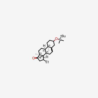 CCC1CC(=O)[C@@]2(C)CC[C@@H]3[C@@H](CC=C4CC(O[Si](C)(C)C(C)(C)C)CC[C@@]43C)[C@H]12